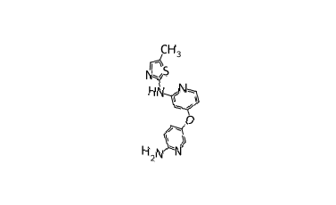 Cc1cnc(Nc2cc(Oc3ccc(N)nc3)ccn2)s1